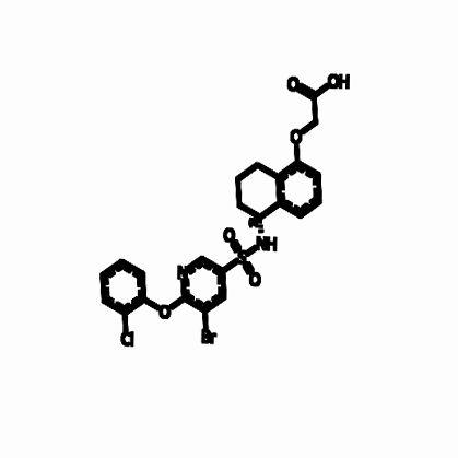 O=C(O)COc1cccc2c1CCC[C@H]2NS(=O)(=O)c1cnc(Oc2ccccc2Cl)c(Br)c1